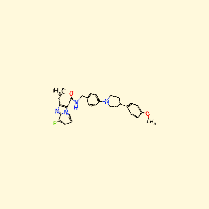 CCc1nc2c(F)cccn2c1C(=O)NCc1ccc(N2CCC(c3ccc(OC)cc3)CC2)cc1